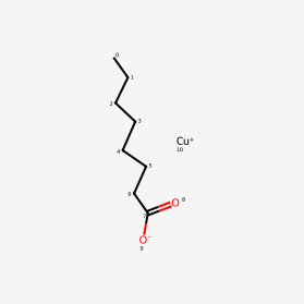 CCCCCCCC(=O)[O-].[Cu+]